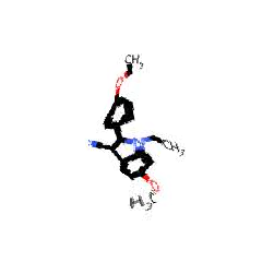 CCOc1ccc(C2C(C#N)c3ccc(OC)cc3N2CC)cc1